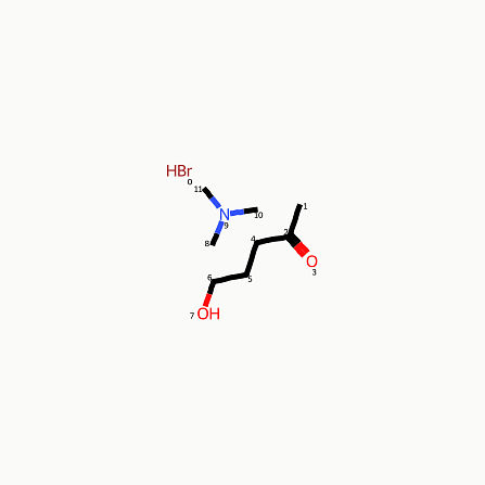 Br.CC(=O)CCCO.CN(C)C